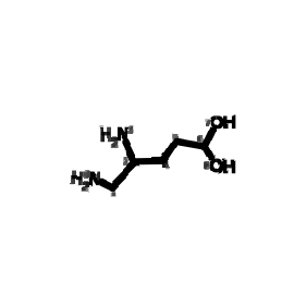 NCC(N)CCC(O)O